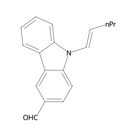 CCC/C=C/n1c2ccccc2c2cc(C=O)ccc21